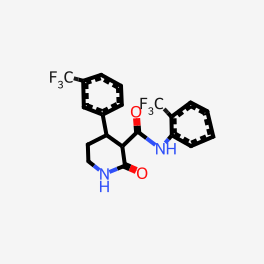 O=C1NCCC(c2cccc(C(F)(F)F)c2)C1C(=O)Nc1ccccc1C(F)(F)F